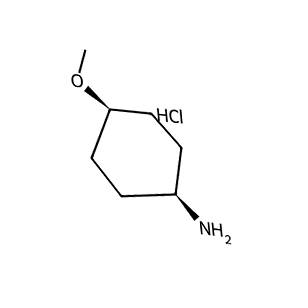 CO[C@H]1CC[C@@H](N)CC1.Cl